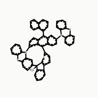 CC12c3ccc4c(c3)N(c3ccc5c(-c6cccc7ccccc67)c6cc(N7c8ccccc8Sc8ccccc87)ccc6c(c5c3)-c3ccc(c1c3)-c1ccccc12)c1ccccc1S4